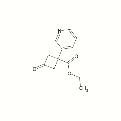 CCOC(=O)C1(c2cccnc2)CC(=O)C1